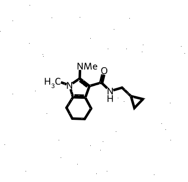 CNc1c(C(=O)NCC2CC2)c2c(n1C)CCCC2